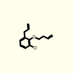 C=CCCOc1c(Cl)cccc1CC=C